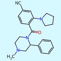 CN1CCN(C(=O)c2ccc(C#N)cc2N2CCCC2)C(c2ccccc2)C1